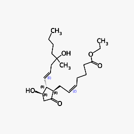 CCCCC(C)(O)C/C=C/[C@H]1[C@H](O)CC(=O)[C@@H]1C/C=C\CCCC(=O)OCC